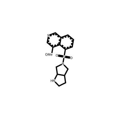 COc1cncc2cccc(S(=O)(=O)N3CC4CCNC4C3)c12